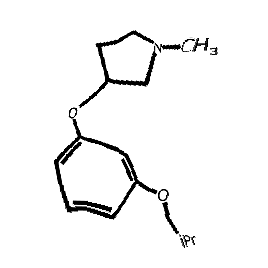 CC(C)Oc1cccc(OC2CCN(C)C2)c1